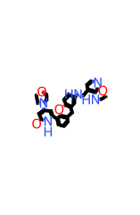 O=c1cc(N2CCOCC2)cc(-c2cccc3c2Oc2ccc(NCc4ccnc5c4NCCO5)cc2C3)[nH]1